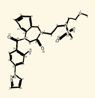 COCCN(CCN1Cc2ccccc2N(C(=O)c2ccc(-n3cccn3)cc2Cl)CC1=O)S(C)(=O)=O